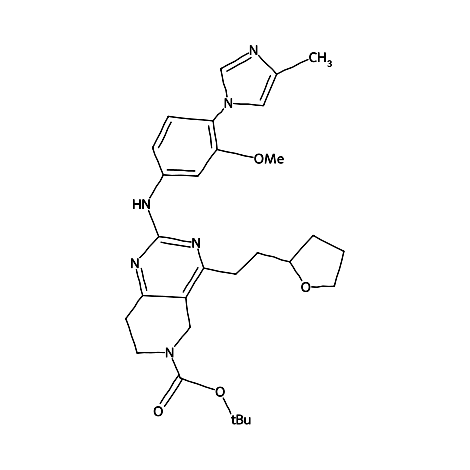 COc1cc(Nc2nc(CCC3CCCO3)c3c(n2)CCN(C(=O)OC(C)(C)C)C3)ccc1-n1cnc(C)c1